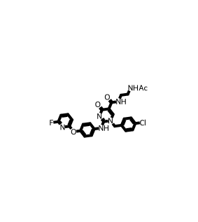 CC(=O)NCCNC(=O)c1cn(Cc2ccc(Cl)cc2)c(Nc2ccc(Oc3cccc(F)n3)cc2)nc1=O